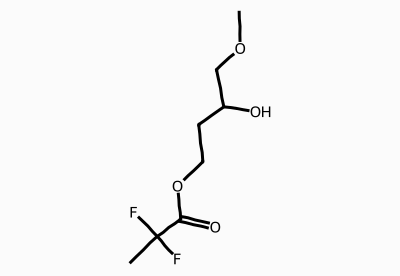 COCC(O)CCOC(=O)C(C)(F)F